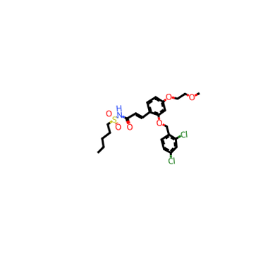 CCCCCS(=O)(=O)NC(=O)C=Cc1ccc(OCCOC)cc1OCc1ccc(Cl)cc1Cl